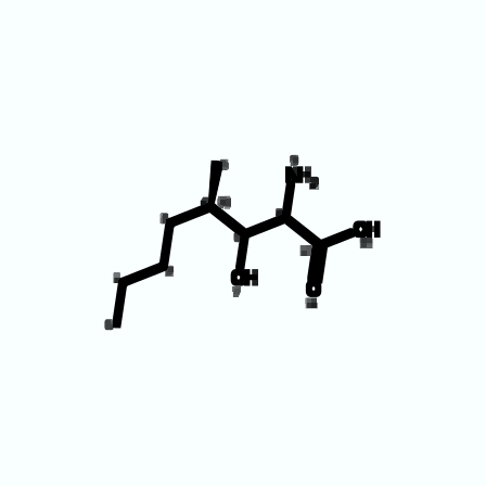 CCCC[C@@H](C)C(O)C(N)C(=O)O